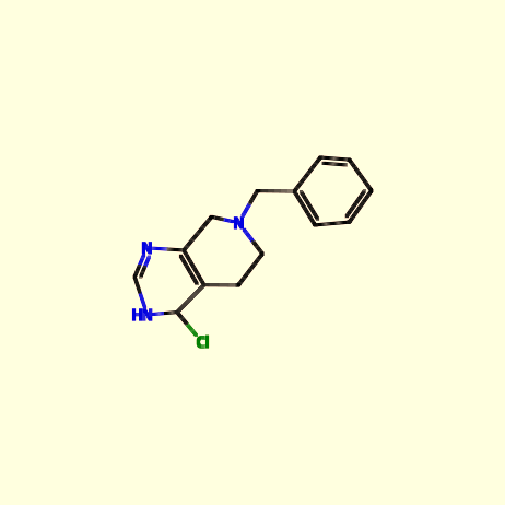 ClC1NC=NC2=C1CCN(Cc1ccccc1)C2